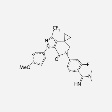 COc1ccc(-n2nc(C(F)(F)F)c3c2C(=O)N(c2ccc(C(=N)N(C)C)c(F)c2)CC32CC2)cc1